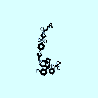 COC(=O)N[C@H]1CCC[C@@H]1C(CN1CCC1)(c1cccc(F)c1)C1CCN(CC2CN(c3ccc(S(=O)(=O)C4CN(C(=O)CCN(C)C)C4)cc3)C2)CC1